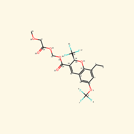 CCc1cc(OC(F)(F)F)cc2c1O[C@H](C(F)(F)F)C(C(=O)OCOC(=O)COC)=C2